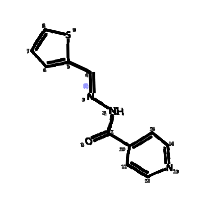 O=C(N/N=C/c1cccs1)c1ccncc1